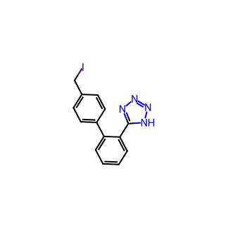 ICc1ccc(-c2ccccc2-c2nnn[nH]2)cc1